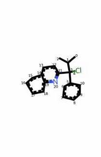 CC(C)C(Cl)(c1ccccc1)c1ccc2ccccc2n1